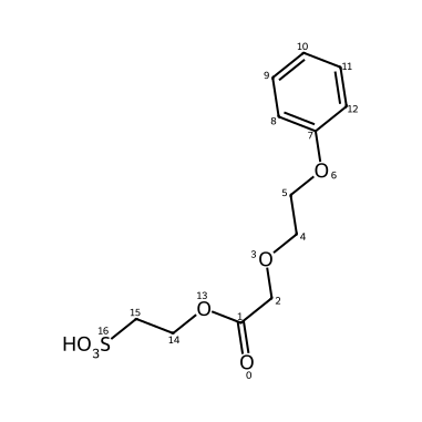 O=C(COCCOc1ccccc1)OCCS(=O)(=O)O